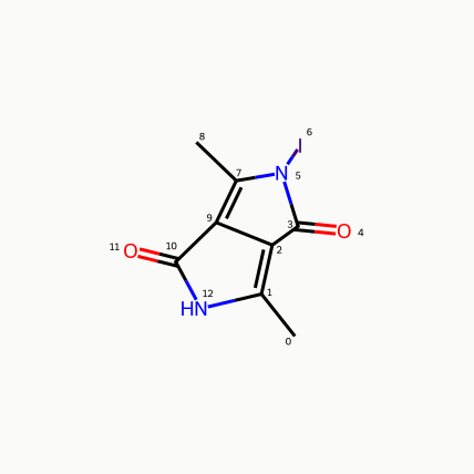 CC1=C2C(=O)N(I)C(C)=C2C(=O)N1